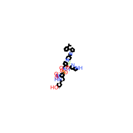 CC(C)c1ccccc1[C@H]1CCC[C@H]1N1CC2(CCN(c3ccc(C(=O)NS(=O)(=O)c4cc5c(c([N+](=O)[O-])c4)N[C@@H]([C@H]4CC[C@](C)(O)CC4)CC5)c(Oc4cc5cc[nH]c5nc4F)c3)CC2)C1